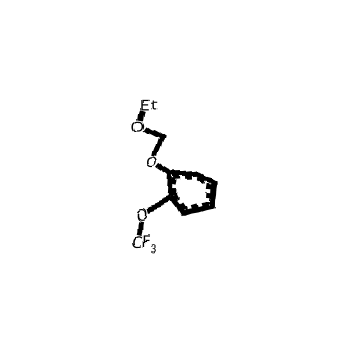 CCOCOc1ccccc1OC(F)(F)F